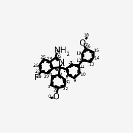 COc1ccc(C2(c3cccc(-c4cccc(OC)c4)c3)N=C(N)c3ccc(F)cc32)cc1